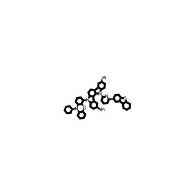 CC(C)c1ccc2c(c1)c1c(ccc3c4cc(C(C)C)ccc4n(-c4cccc(-c5ccc6sc7ccccc7c6c5)n4)c31)n2-c1cccc2c1Oc1ccccc1N2c1ccccc1